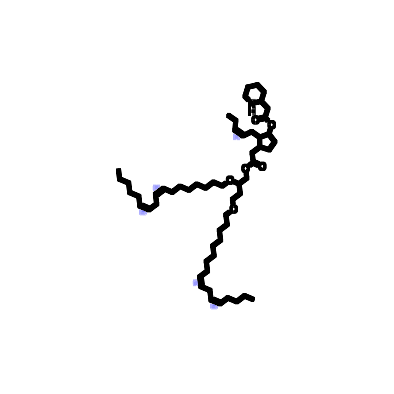 CC/C=C\CC1C(CC(=O)OCC(CCOCCCCCCCC/C=C\C/C=C\CCCC)OCCCCCCC/C=C\C/C=C\CCCCC)CCC1OC(=O)CC1CCCCN1